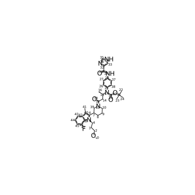 COCCCn1c(C2CCCN(C(=O)C[C@@H](C)N(C(=O)OC(C)(C)C)c3ccc(NC(=O)c4c[nH]cn4)cc3)C2)c(C)c2cccc(F)c21